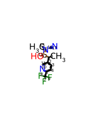 CC(c1ccc(C(F)(F)F)nc1)S(O)=[N+](C)C#N